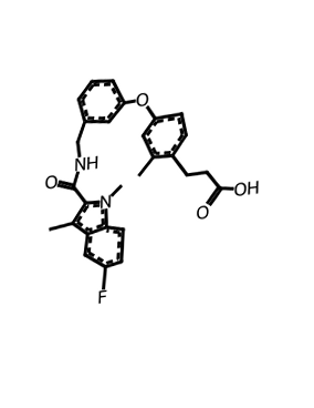 Cc1cc(Oc2cccc(CNC(=O)c3c(C)c4cc(F)ccc4n3C)c2)ccc1CCC(=O)O